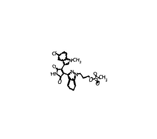 Cn1cc(C2=C(c3nn(CCCOS(C)(=O)=O)c4c3=CCCC=4)C(=O)NC2=O)c2cc(Cl)ccc21